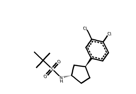 CC(C)(C)S(=O)(=O)N[C@H]1CC[C@H](c2ccc(Cl)c(Cl)c2)C1